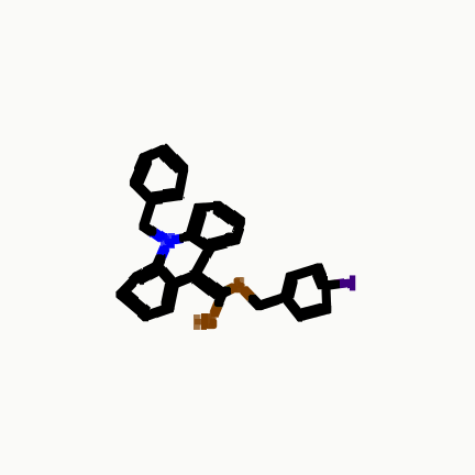 SC(SCc1ccc(I)cc1)=C1c2ccccc2N(Cc2ccccc2)c2ccccc21